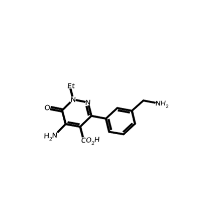 CCn1nc(-c2cccc(CN)c2)c(C(=O)O)c(N)c1=O